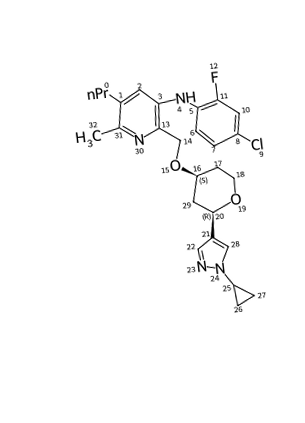 CCCc1cc(Nc2ccc(Cl)cc2F)c(CO[C@H]2CCO[C@@H](c3cnn(C4CC4)c3)C2)nc1C